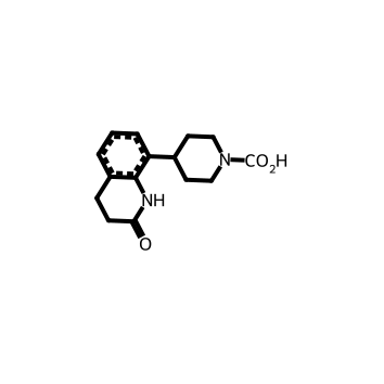 O=C1CCc2cccc(C3CCN(C(=O)O)CC3)c2N1